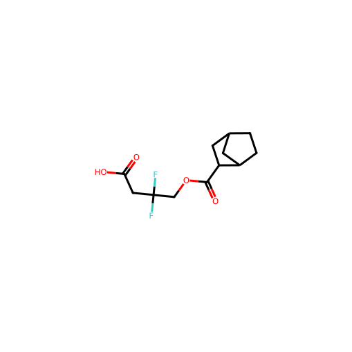 O=C(O)CC(F)(F)COC(=O)C1CC2CCC1C2